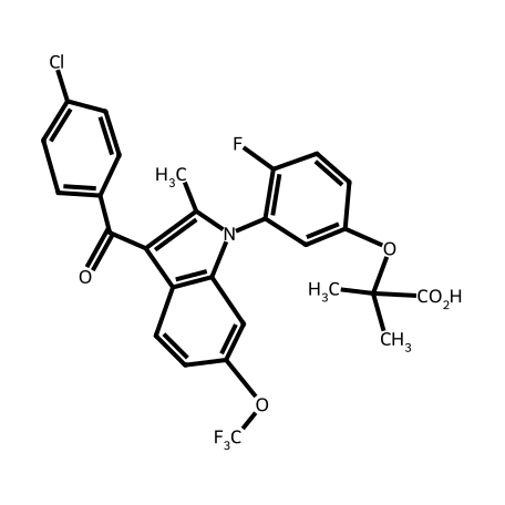 Cc1c(C(=O)c2ccc(Cl)cc2)c2ccc(OC(F)(F)F)cc2n1-c1cc(OC(C)(C)C(=O)O)ccc1F